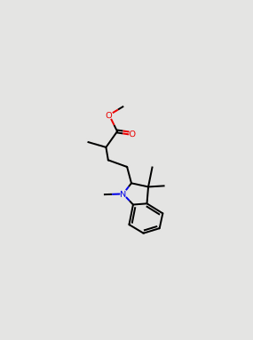 COC(=O)C(C)CCC1N(C)c2ccccc2C1(C)C